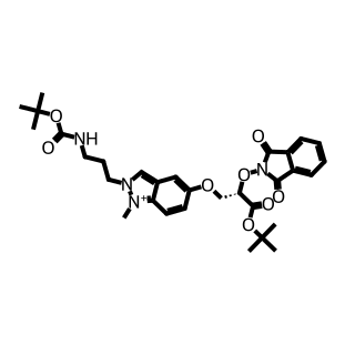 C[n+]1c2ccc(OC[C@H](ON3C(=O)c4ccccc4C3=O)C(=O)OC(C)(C)C)cc2cn1CCCNC(=O)OC(C)(C)C